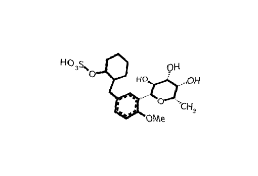 COc1ccc(CC2CCCCC2OS(=O)(=O)O)cc1[C@H]1O[C@@H](C)[C@@H](O)[C@@H](O)[C@@H]1O